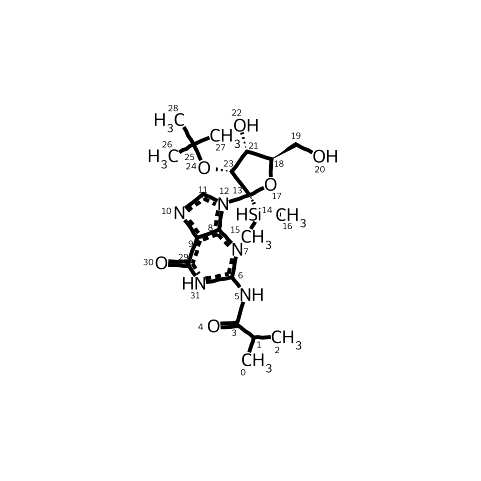 CC(C)C(=O)Nc1nc2c(ncn2[C@]2([SiH](C)C)O[C@H](CO)[C@@H](O)[C@H]2OC(C)(C)C)c(=O)[nH]1